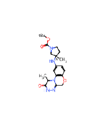 CC1C(=O)NN=C2COc3ccc(N[C@@]4(C)CCN(C(=O)OC(C)(C)C)C4)cc3N21